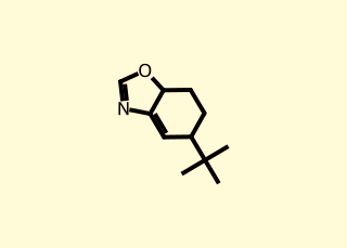 CC(C)(C)C1C=C2N=COC2CC1